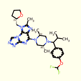 Cc1nc2c(N3C[C@@H](C)N(C(c4ccc(OC(F)F)cc4)C(C)C)C[C@@H]3C)nc3nncn3c2n1C[C@@H]1CCCO1